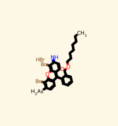 Br.CCCCCCCCOC(=O)c1ccccc1-c1c2ccc(=N)c(Br)c-2oc2c(Br)c([AsH2])ccc12